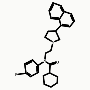 O=C(C1CCCCC1)N(CCN1CCC(c2cccc3ccccc23)C1)c1ccc(F)cc1